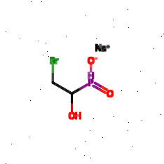 O=[PH]([O-])C(O)CBr.[Na+]